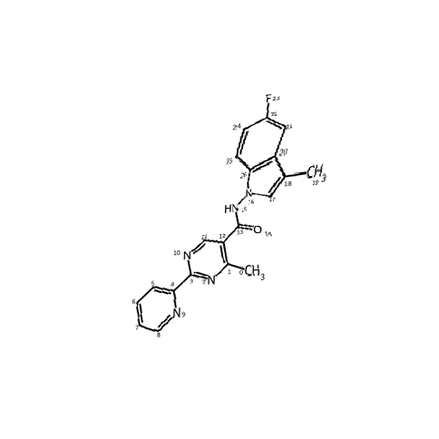 Cc1nc(-c2ccccn2)ncc1C(=O)Nn1cc(C)c2cc(F)ccc21